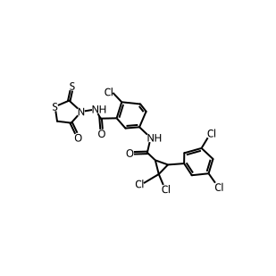 O=C(NN1C(=O)CSC1=S)c1cc(NC(=O)C2C(c3cc(Cl)cc(Cl)c3)C2(Cl)Cl)ccc1Cl